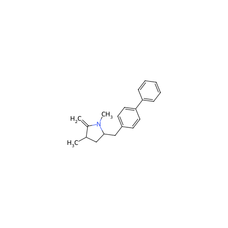 C=C1C(C)CC(Cc2ccc(-c3ccccc3)cc2)N1C